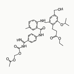 CCOC(=O)CCc1c(CNc2ccc(C)cc2C(=O)Nc2ccc(C(=N)NC(=O)OCOC(C)=O)cc2)cc(CO)cc1OC(C)C